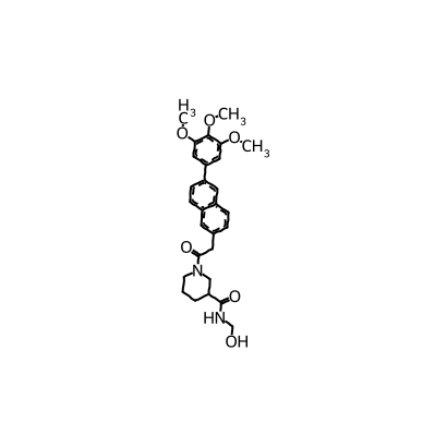 COc1cc(-c2ccc3cc(CC(=O)N4CCCC(C(=O)NCO)C4)ccc3c2)cc(OC)c1OC